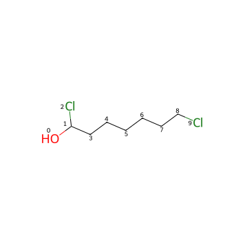 OC(Cl)CCCCCCCl